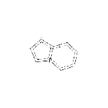 [c]1ccp2ccccc12